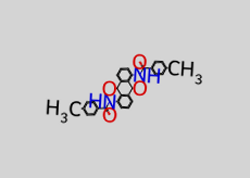 Cc1ccc(C(=O)Nc2cccc3c2C(=O)c2cccc(NC(=O)c4ccc(C)cc4)c2C3=O)cc1